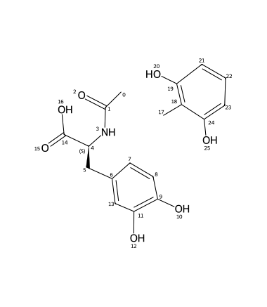 CC(=O)N[C@@H](Cc1ccc(O)c(O)c1)C(=O)O.Cc1c(O)cccc1O